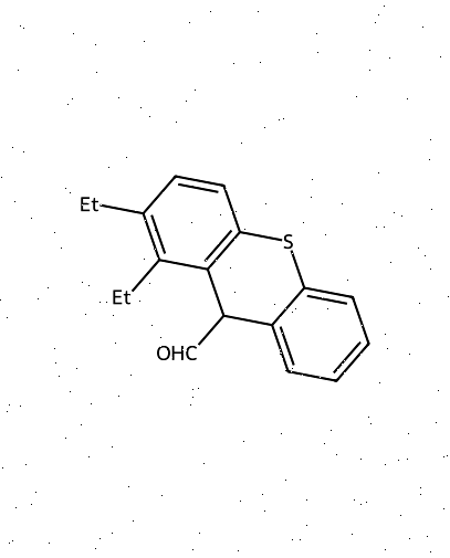 CCc1ccc2c(c1CC)C(C=O)c1ccccc1S2